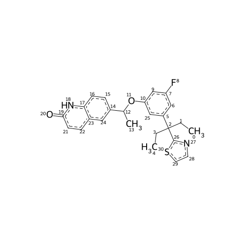 CCC(CC)(c1cc(F)cc(OC(C)c2ccc3[nH]c(=O)ccc3c2)c1)c1nccs1